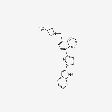 CC1CN(Cc2ccc(C3=NCC(c4cc5ccccc5[nH]4)=N3)c3ccccc23)C1